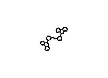 C(=Cc1cccc(-c2cc3ccccc3c3ccccc23)c1)c1cccc(-c2cc3ccccc3c3ccccc23)c1